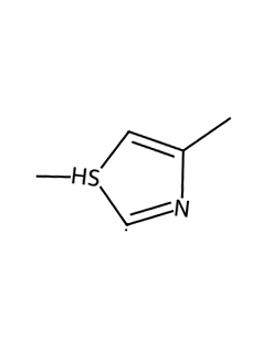 CC1=C[SH](C)[C]=N1